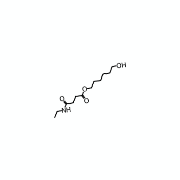 CCNC(=O)CCC(=O)OCCCCCCO